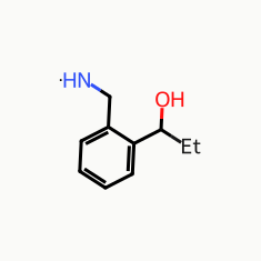 CCC(O)c1ccccc1C[NH]